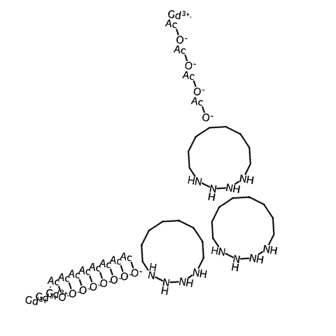 C1CCCCNNNNCCC1.C1CCCCNNNNCCC1.C1CCCCNNNNCCC1.CC(=O)[O-].CC(=O)[O-].CC(=O)[O-].CC(=O)[O-].CC(=O)[O-].CC(=O)[O-].CC(=O)[O-].CC(=O)[O-].CC(=O)[O-].CC(=O)[O-].CC(=O)[O-].CC(=O)[O-].[Gd+3].[Gd+3].[Gd+3].[Gd+3]